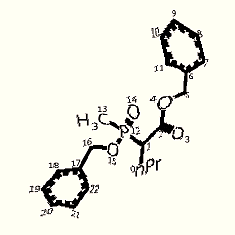 CCCC(C(=O)OCc1ccccc1)P(C)(=O)OCc1ccccc1